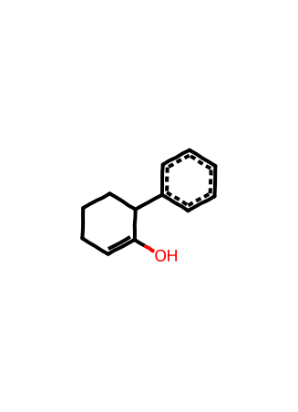 OC1=CCCCC1c1ccccc1